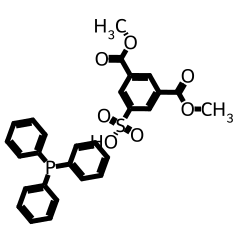 COC(=O)c1cc(C(=O)OC)cc(S(=O)(=O)O)c1.c1ccc(P(c2ccccc2)c2ccccc2)cc1